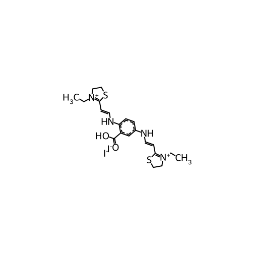 CC[N+]1=C(C=CNc2ccc(NC=CC3=[N+](CC)CCS3)c(C(=O)O)c2)SCC1.[I-].[I-]